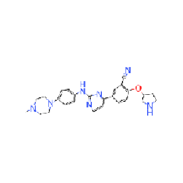 CN1CCN(c2ccc(Nc3nccc(-c4ccc(OC5CCNC5)c(C#N)c4)n3)cc2)CC1